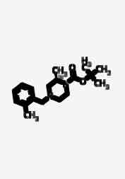 Cc1ccccc1CN1CCN(C(=O)OC(C)(C)C)[C@@H](C)C1